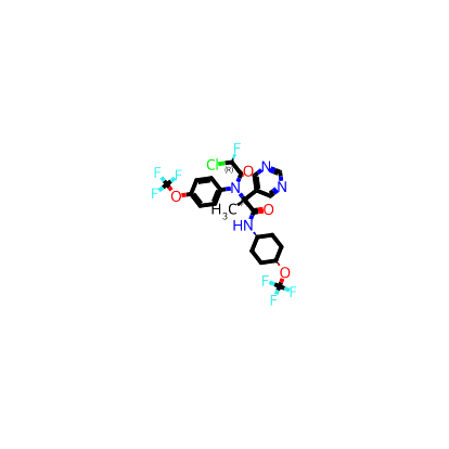 C[C@](C(=O)N[C@H]1CC[C@@H](OC(F)(F)F)CC1)(c1cncnc1)N(C(=O)[C@H](F)Cl)c1ccc(OC(F)(F)F)cc1